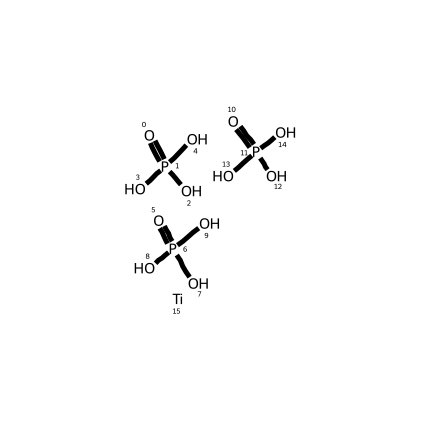 O=P(O)(O)O.O=P(O)(O)O.O=P(O)(O)O.[Ti]